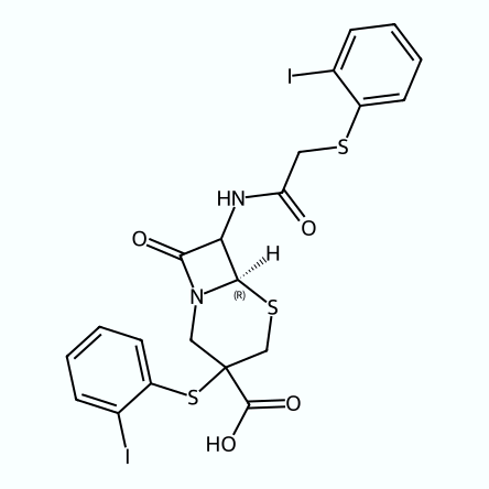 O=C(CSc1ccccc1I)NC1C(=O)N2CC(Sc3ccccc3I)(C(=O)O)CS[C@H]12